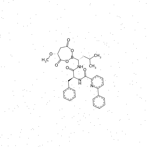 CO[C@@H]1CC(=O)OB([C@H](CC(C)C)NC(=O)[C@H](Cc2ccccc2)NC(=O)c2cccc(-c3ccccc3)n2)OC1=O